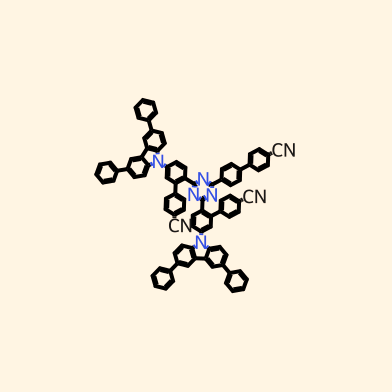 N#Cc1ccc(-c2ccc(-c3nc(-c4ccc(-n5c6ccc(-c7ccccc7)cc6c6cc(-c7ccccc7)ccc65)cc4-c4ccc(C#N)cc4)nc(-c4ccc(-n5c6ccc(-c7ccccc7)cc6c6cc(-c7ccccc7)ccc65)cc4-c4ccc(C#N)cc4)n3)cc2)cc1